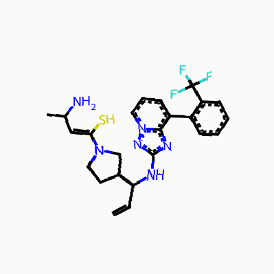 C=CC(Nc1nc2c(-c3ccccc3C(F)(F)F)cccn2n1)C1CCN(/C(S)=C/C(C)N)C1